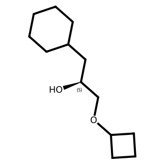 O[C@H](COC1CCC1)CC1CCCCC1